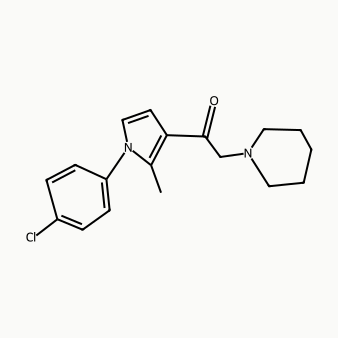 Cc1c(C(=O)CN2CCCCC2)ccn1-c1ccc(Cl)cc1